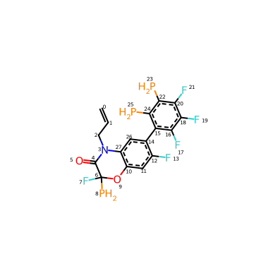 C=CCN1C(=O)C(F)(P)Oc2cc(F)c(-c3c(F)c(F)c(F)c(P)c3P)cc21